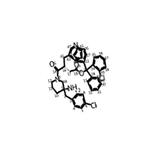 N[C@@]1(Cc2ccc(Cl)cc2)CCCN(C(=O)[C@@H](CC(=O)OC(c2ccccc2)(c2ccccc2)c2ccccc2Cl)Cc2cccnc2)C1